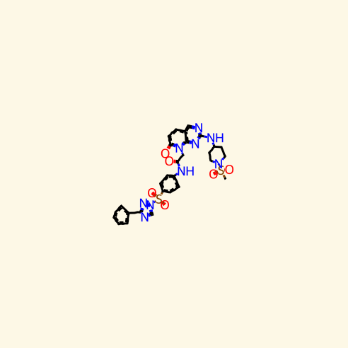 CS(=O)(=O)N1CCC(Nc2ncc3ccc(=O)n(CC(=O)Nc4ccc(S(=O)(=O)n5cnc(-c6ccccc6)n5)cc4)c3n2)CC1